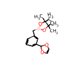 CC1(C)OB(Cc2cccc(C3OC=CO3)c2)OC1(C)C